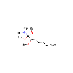 CCCCCCCCCCCCCCC(OCC)C(OCC)(OCC)N(CCCC)CCCC